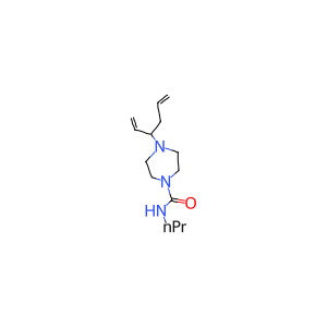 C=CCC(C=C)N1CCN(C(=O)NCCC)CC1